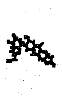 CC[C@H]1CN(C(C)c2ccn3nc(C)cc3n2)[C@H](CC)CN1c1cc(=O)n(C)c2cc(CC#N)nn12